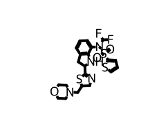 O=S(=O)(c1cccs1)N(c1cccc2c1NC(C1=NCC(CN3CCOCC3)S1)C2)C(F)F